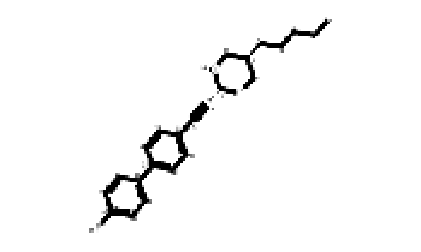 CCCCC[C@H]1CO[C@H](C#Cc2ccc(-c3ccc(F)cc3)cc2)OC1